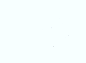 CCCCCC(N)=C(SC)[S+](C)[O-]